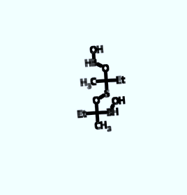 CCC(C)(BO)OSC(C)(CC)OBO